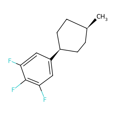 C[C@H]1CC[C@@H](c2cc(F)c(F)c(F)c2)CC1